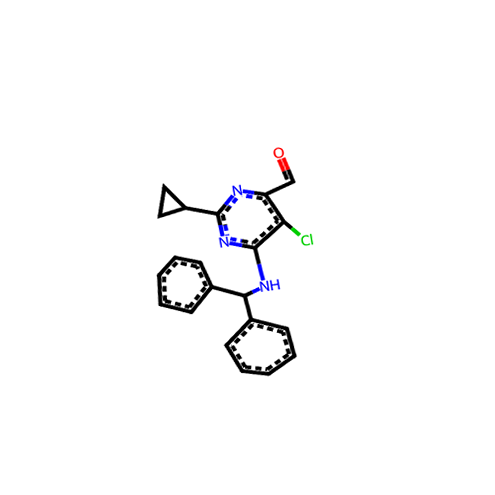 O=Cc1nc(C2CC2)nc(NC(c2ccccc2)c2ccccc2)c1Cl